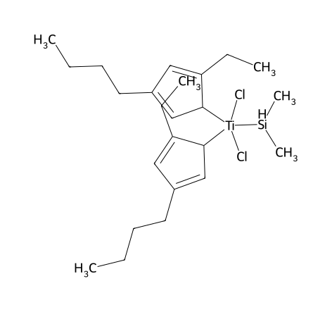 CCCCC1=C[CH]([Ti]([Cl])([Cl])([CH]2C=C(CCCC)C=C2CC)[SiH](C)C)C(CC)=C1